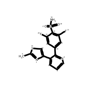 Cc1nc(-c2cccnc2-c2cc(F)c(S(N)(=O)=O)c(F)c2)cs1